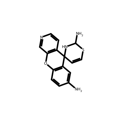 Nc1ccc2c(c1)C1(C=CSC(N)N1)c1ccncc1O2